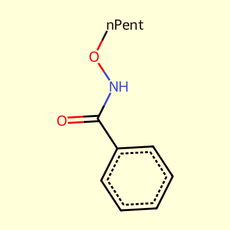 CCCCCONC(=O)c1ccccc1